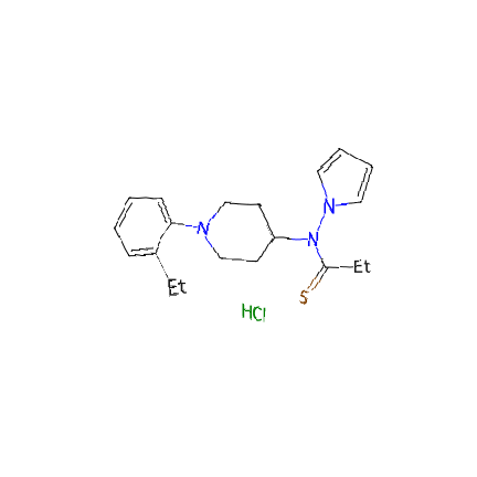 CCC(=S)N(C1CCN(c2ccccc2CC)CC1)n1cccc1.Cl